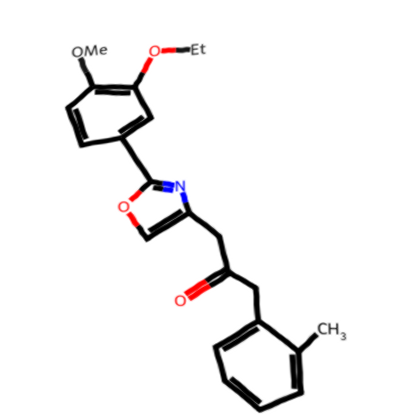 CCOc1cc(-c2nc(CC(=O)Cc3ccccc3C)co2)ccc1OC